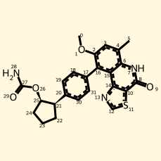 COc1cc(C)c2[nH]c(=O)c3scnc3c2c1-c1ccc([C@H]2CCC[C@H]2OC(N)=O)cc1